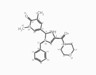 Cc1cc(C2NC(C(=O)N3CCOCC3)=CN2Cc2ccccc2)cn(C)c1=O